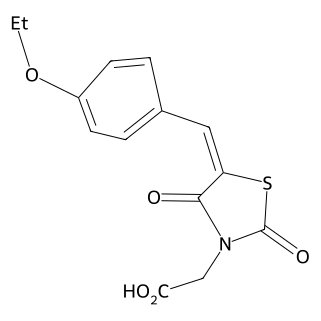 CCOc1ccc(C=C2SC(=O)N(CC(=O)O)C2=O)cc1